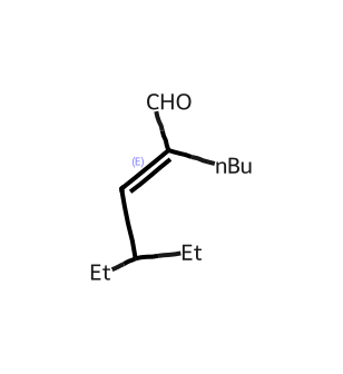 CCCC/C(C=O)=C\C(CC)CC